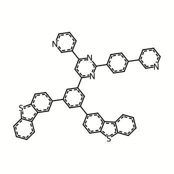 c1cncc(-c2ccc(-c3nc(-c4cccnc4)cc(-c4cc(-c5ccc6sc7ccccc7c6c5)cc(-c5ccc6sc7ccccc7c6c5)c4)n3)cc2)c1